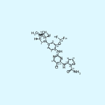 C[C@H]1[C@@H]2CN(c3ccc(Nc4ncc(Cl)c(Nc5ccsc5C(N)=O)n4)c(OC(F)F)c3)[C@H]1CN2C